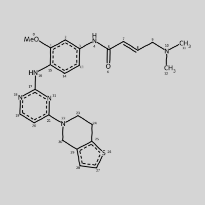 COc1cc(NC(=O)C=CCN(C)C)ccc1Nc1nccc(N2CCc3sccc3C2)n1